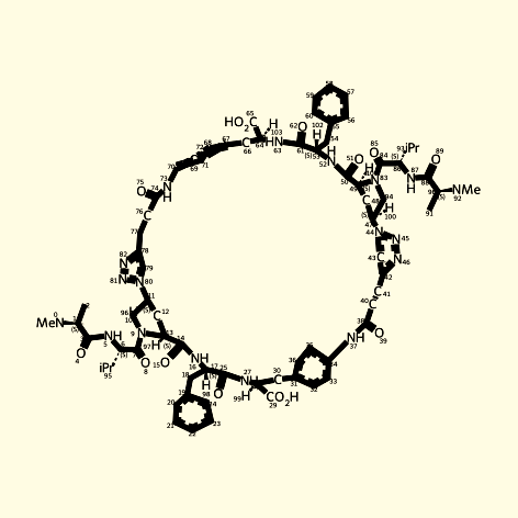 CN[C@@H](C)C(=O)N[C@H](C(=O)N1C[C@@H]2C[C@H]1C(=O)N[C@@H](Cc1ccccc1)C(=O)N[C@H](C(=O)O)Cc1ccc(cc1)NC(=O)CCc1cn(nn1)[C@H]1C[C@@H](C(=O)N[C@@H](Cc3ccccc3)C(=O)N[C@H](C(=O)O)Cc3ccc(cc3)NC(=O)CCc3cn2nn3)N(C(=O)[C@@H](NC(=O)[C@H](C)NC)C(C)C)C1)C(C)C